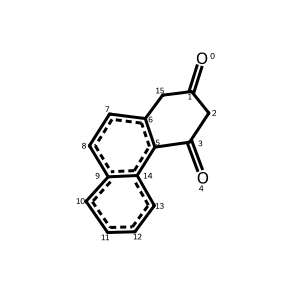 O=C1CC(=O)c2c(ccc3ccccc23)C1